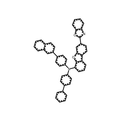 c1ccc(-c2ccc(N(c3ccc(-c4ccc5ccccc5c4)cc3)c3cccc4c3oc3cc(-c5nc6ccccc6o5)ccc34)cc2)cc1